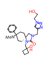 CN[C@]1(c2ccccc2)CC[C@]2(CC1)CN(Cc1cn(CCO)nn1)C(=O)N2CC1(O)CCC1